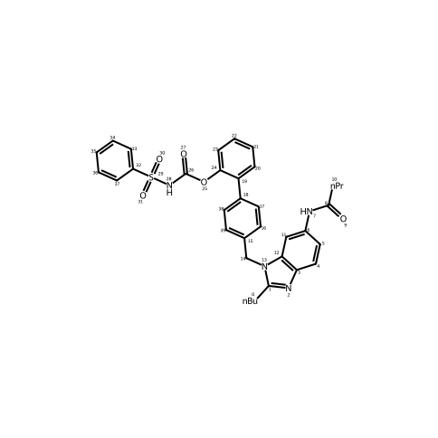 CCCCc1nc2ccc(NC(=O)CCC)cc2n1Cc1ccc(-c2ccccc2OC(=O)NS(=O)(=O)c2ccccc2)cc1